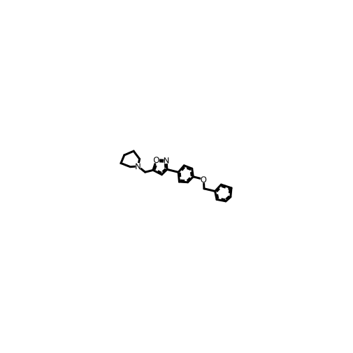 c1ccc(COc2ccc(-c3cc(CN4CCCCC4)on3)cc2)cc1